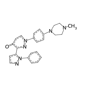 CN1CCN(c2ccc(-n3ccc(=O)c(-c4ccnn4-c4ccccc4)n3)cc2)CC1